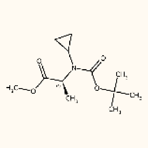 COC(=O)[C@H](C)N(C(=O)OC(C)(C)C)C1CC1